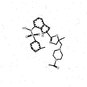 CC(=O)N1CCN(CC2(C)CN=C(c3cc4cccc(N(S)S(=O)(=O)c5cccc(C)c5)c4[nH]3)S2)CC1